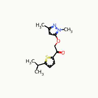 Cc1cc(OCC(=O)c2ccc(C(C)C)s2)n(C)n1